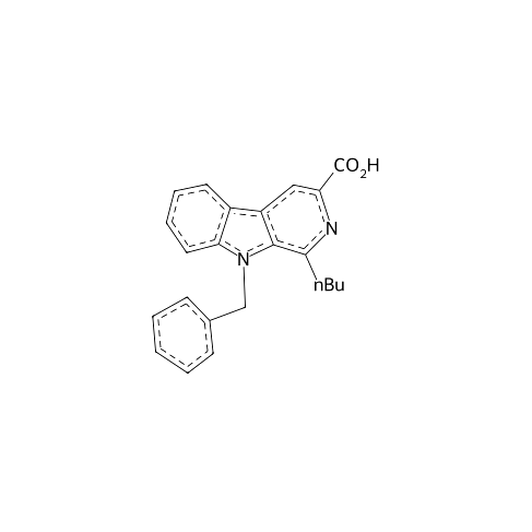 CCCCc1nc(C(=O)O)cc2c3ccccc3n(Cc3ccccc3)c12